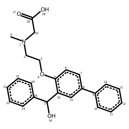 CN(CCOc1ccc(-c2ccccc2)cc1C(O)c1ccccc1)CC(=O)O